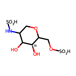 O=S(=O)(O)NC1COC(COS(=O)(=O)O)[C@@H](O)C1O